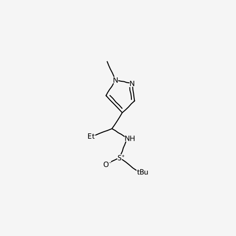 CCC(N[S+]([O-])C(C)(C)C)c1cnn(C)c1